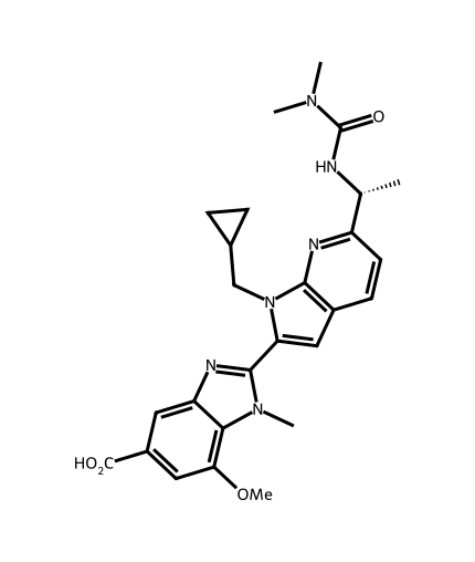 COc1cc(C(=O)O)cc2nc(-c3cc4ccc([C@@H](C)NC(=O)N(C)C)nc4n3CC3CC3)n(C)c12